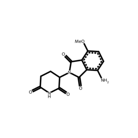 COc1ccc(N)c2c1C(=O)N(C1CCC(=O)NC1=O)C2=O